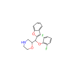 Fc1cccc(F)c1OC(c1cc2ccccc2o1)C1CNCCO1